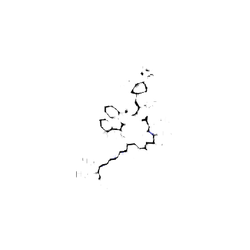 C=C[C@@H](C)/C(C)=C/C=C/C=C/[C@@H](C)C[C@@H](C)C(=O)[C@H](OC)[C@H](O)/C(C)=C/[C@@H](C)C(=O)C[C@H](OC(=O)[C@@H]1CCCCN1C(=O)C(=O)[C@]1(O)OCCC[C@H]1C)[C@H](C)C[C@@H]1CC[C@H](n2cnnn2)[C@H](OC)C1